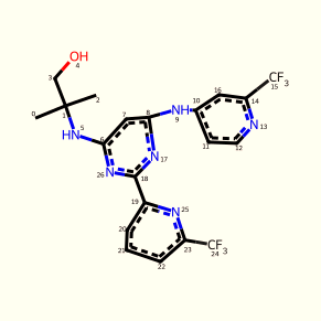 CC(C)(CO)Nc1cc(Nc2ccnc(C(F)(F)F)c2)nc(-c2cccc(C(F)(F)F)n2)n1